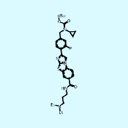 CCCCOC(=O)N(Cc1ccc(-c2cn3c(n2)sc2cc(C(=O)NCCCN(CC)CC)ccc23)c(F)c1)C1CC1